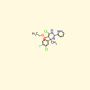 CCOC(=O)C1=C(Cl)NC(c2ccccn2)=NC1(C)c1ccc(F)c(Cl)c1